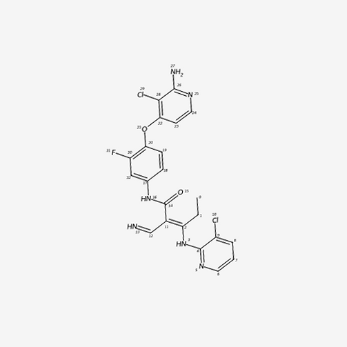 CC/C(Nc1ncccc1Cl)=C(/C=N)C(=O)Nc1ccc(Oc2ccnc(N)c2Cl)c(F)c1